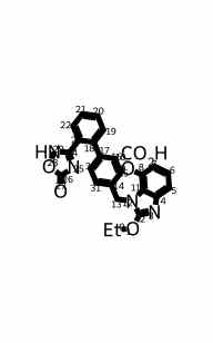 CCOc1nc2cccc(OC(=O)O)c2n1Cc1ccc(-c2ccccc2-c2nc(=O)o[nH]2)cc1